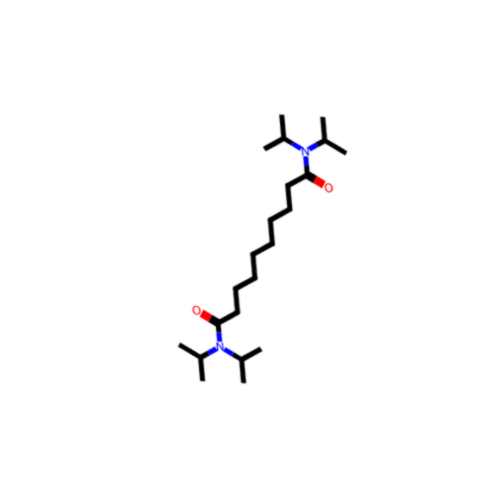 CC(C)N(C(=O)CCCCCCCCC(=O)N(C(C)C)C(C)C)C(C)C